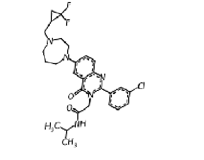 CC(C)NC(=O)Cn1c(-c2cccc(Cl)c2)nc2ccc(N3CCCN(CC4CC4(F)F)CC3)cc2c1=O